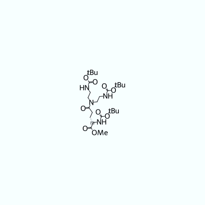 COC(=O)[C@H](CCC(=O)N(CCNC(=O)OC(C)(C)C)CCNC(=O)OC(C)(C)C)NC(=O)OC(C)(C)C